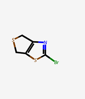 Brc1nc2c(s1)CSC2